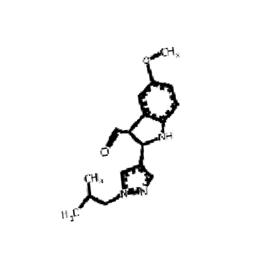 COc1ccc2c(c1)C(C=O)C(c1cnn(CC(C)C)c1)N2